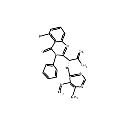 C=Nc1c(NC)ncnc1N[C@@H](C(=C)C)c1nc2cccc(F)c2c(=O)n1-c1ccccc1